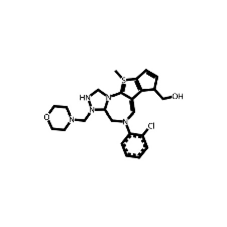 CS1=C2C(=CN(c3ccccc3Cl)CC3N(CN4CCOCC4)NCN23)C2=C1C=CC2CO